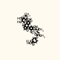 COc1cc([C@@H]2c3cc4c(cc3C(OC3O[C@@H]5CO[C@@H](C)O[C@H]5[C@H](O)[C@H]3O)[C@H]3CCC(=O)[C@H]23)OCO4)cc(C)c1OC(=O)N(C)CCN(C)C(=O)O[C@H]1/C=C/CC[C@@](C)(C(=O)O)CC1